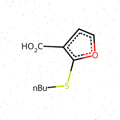 CCCCSc1occc1C(=O)O